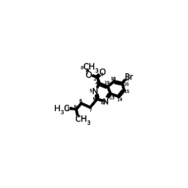 COC(=O)c1nc(CCC(C)C)nc2ccc(Br)cc12